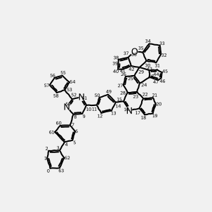 c1ccc(-c2ccc(-c3cc(-c4ccc(-c5nc6ccccc6c6c7c(ccc56)C5(c6ccccc6Oc6ccccc65)c5ccccc5-7)cc4)nc(-c4ccccc4)n3)cc2)cc1